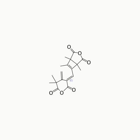 C=C1/C(=C\C2=C(C)C3(C)C(=O)OC(=O)C23C)C(=O)OC(=O)C1(C)C